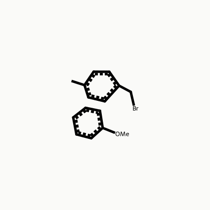 COc1ccccc1.Cc1ccc(CBr)cc1